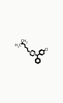 C=C(C)CCCCN1CCN(C(C2=CCC(Cl)C=C2)c2ccccc2)CC1